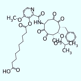 COc1ccnc(C(=O)N[C@H]2CC(=O)C(=O)[C@H](Cc3ccccc3)[C@H](OC(=O)C(C)C)[C@H](C)C(=O)C2=O)c1OC(=O)CCCCCCCCC(=O)O